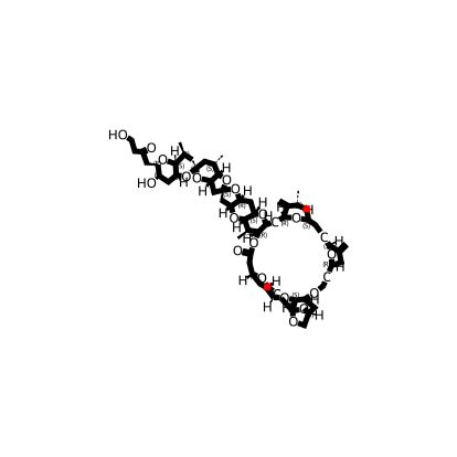 C=C1C[C@@H]2CCO[C@@H]3C[C@H]4COC5(C[C@H]6O[C@H](CC[C@@H]6O[C@@H]35)CC(=O)O[C@@H]3[C@@H](C)[C@@H]5O[C@@H]6C[C@]7(C[C@@H]8O[C@]9(C[C@H](C)[C@@H]%10O[C@H](CC(=O)CCO)[C@H](O)C[C@@H]%10O9)C[C@H](C)[C@@H]8O7)O[C@@H]6C[C@@H]5O[C@H]3C[C@H]3O[C@@H](CC[C@@H]1O2)C[C@@H](C)C3=C)O4